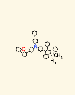 CC1(C)c2ccccc2-c2c(-c3ccccc3)c(-c3ccc(N(c4ccc(-c5ccccc5)cc4)c4ccc(-c5cccc6c5oc5ccccc56)cc4)cc3)c3ccccc3c21